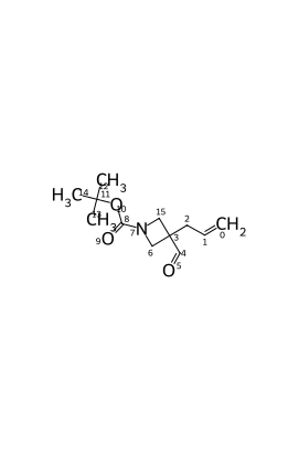 C=CCC1(C=O)CN(C(=O)OC(C)(C)C)C1